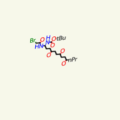 CCCC(=O)CCC(=O)CCC(=O)CCC(NC(=O)CBr)NC(=O)OC(C)(C)C